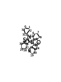 c1ccc(N2c3cccc4c3B(C3=C(CC5=C3CCCC5)O4)c3c2sc2c3CCCC2)cc1